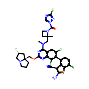 CN(CC1(C)CCN1C(=O)n1cnc(Cl)n1)c1nc(OC[C@@]23CCCN2C[C@H](F)C3)nc2c(F)c(-c3ccc(F)c4sc(N)c(C#N)c34)c(Cl)cc12